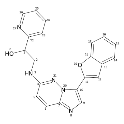 OC(CNc1ccc2ncc(-c3cc4ccccc4o3)n2n1)c1ccccn1